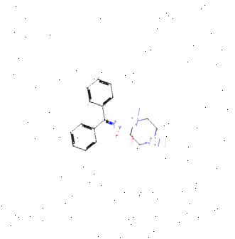 C1CNCCN1.ON=C(c1ccccc1)c1ccccc1